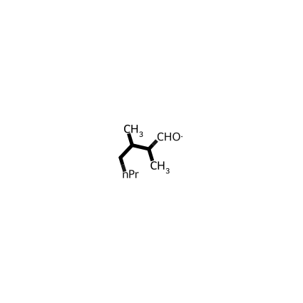 CCCCC(C)C(C)[C]=O